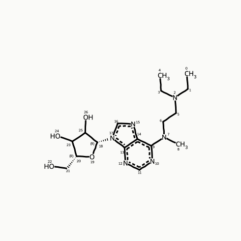 CCN(CC)CCN(C)c1ncnc2c1ncn2[C@@H]1O[C@H](CO)C(O)C1O